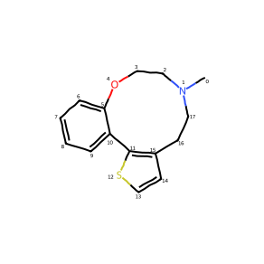 CN1CCOc2ccccc2-c2sccc2CC1